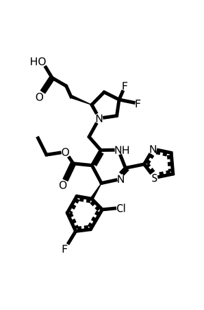 CCOC(=O)C1=C(CN2CC(F)(F)C[C@@H]2CCC(=O)O)NC(c2nccs2)=N[C@H]1c1ccc(F)cc1Cl